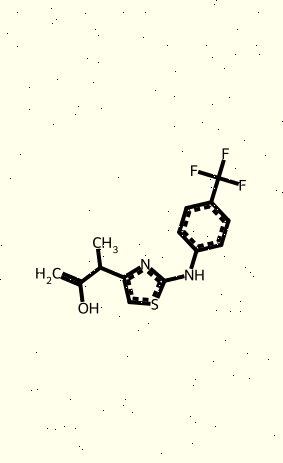 C=C(O)C(C)c1csc(Nc2ccc(C(F)(F)F)cc2)n1